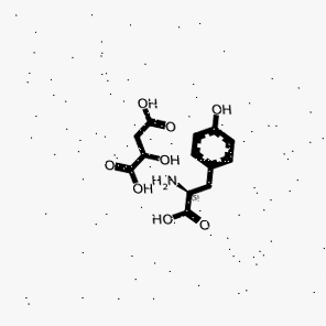 N[C@@H](Cc1ccc(O)cc1)C(=O)O.O=C(O)CC(O)C(=O)O